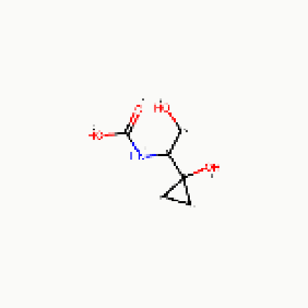 O=C(O)NC(CO)C1(O)CC1